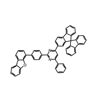 c1ccc(-c2cc(-c3ccc4c(c3)C3(c5ccccc5-c5ccccc53)c3ccccc3-4)nc(-c3ccc(-c4cccc5c4oc4ccccc45)cc3)n2)cc1